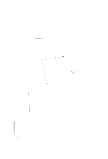 CCCCCCCCCCCCCCC(C)(C(N)=O)C(C)C(=O)O